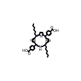 CCCCCC/C1=C2\C=CC(=N2)/C(c2ccc(C(=O)O)cc2)=c2/cc/c([nH]2)=C(\CCCCCC)CN/C=C(/c2ccc(C(=O)O)cc2)c2ccc1[nH]2